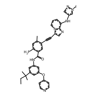 CCC(C)(C)c1cc(NC(=O)c2cc(C#Cc3cnc4c(Nc5cnn(I)c5)cccn34)c(C)cc2P)cc(Oc2ccncc2)c1